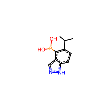 CC(C)c1ccc2[nH]ncc2c1P(O)O